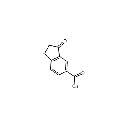 O=C(O)c1ccc2c(c1)C(=O)C[CH]2